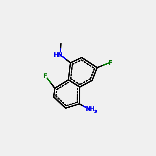 CNc1cc(F)cc2c(N)ccc(F)c12